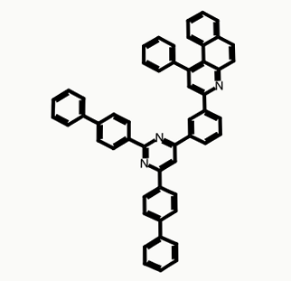 c1ccc(-c2ccc(-c3cc(-c4cccc(-c5cc(-c6ccccc6)c6c(ccc7ccccc76)n5)c4)nc(-c4ccc(-c5ccccc5)cc4)n3)cc2)cc1